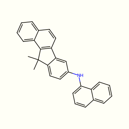 CC1(C)c2ccc(Nc3cccc4ccccc34)cc2-c2ccc3ccccc3c21